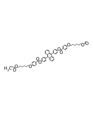 C=CC(=O)OCCCCCCOc1ccc(C(=O)Oc2ccc(-c3c4ccccc4c(-c4ccc(OC(=O)c5ccc(OCCCCCCOC6CO6)cc5)cc4)c4ccccc34)cc2)cc1